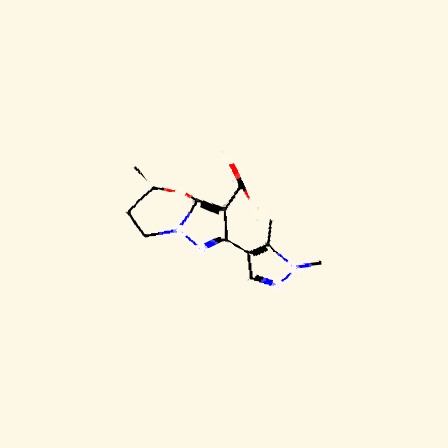 Cc1c(-c2nn3c(c2C(=O)O)O[C@H](C)CC3)cnn1C